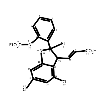 CCOC(=O)Nc1ccccc1C1(CC)Nc2cc(Cl)cc(Cl)c2C1C=CC(=O)O